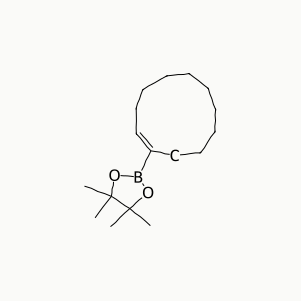 CC1(C)OB(/C2=C/CCCCCCCCC2)OC1(C)C